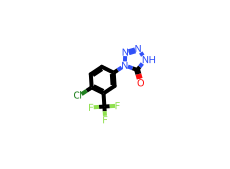 O=c1[nH]nnn1-c1ccc(Cl)c(C(F)(F)F)c1